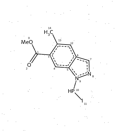 COC(=O)c1cc2c(cnn2PI)cc1C